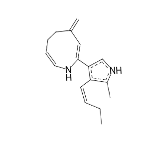 C=C1/C=C(/c2c[nH]c(C)c2/C=C\CC)N/C=C\CC1